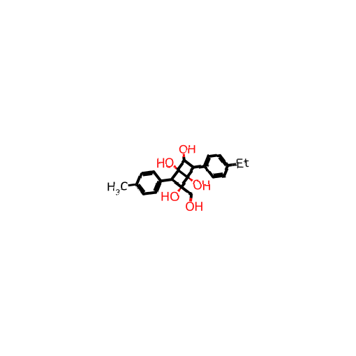 CCc1ccc(C2C(O)[C@@]3(O)C(c4ccc(C)cc4)[C@@](O)(CO)[C@@]23O)cc1